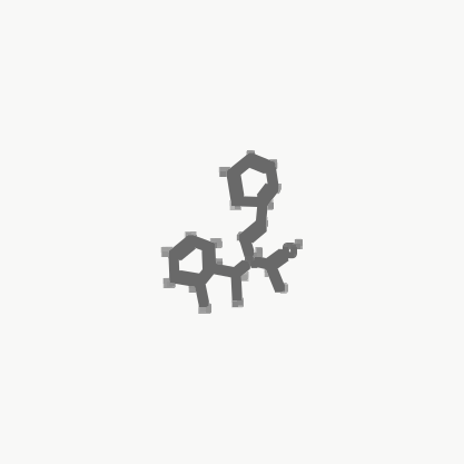 CC(=O)N(C=Cc1ccccc1)C(C)c1ccccc1C